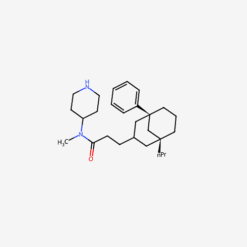 CCC[C@@]12CCC[C@@](c3ccccc3)(CC(CCC(=O)N(C)C3CCNCC3)C1)C2